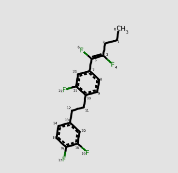 CCCC(F)=C(F)c1ccc(CCc2ccc(F)c(F)c2)c(F)c1